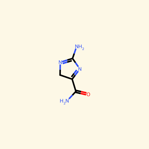 NC(=O)C1=NC(N)=NC1